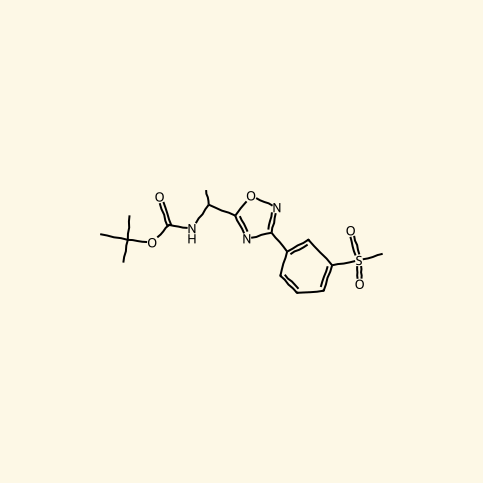 CC(NC(=O)OC(C)(C)C)c1nc(-c2cccc(S(C)(=O)=O)c2)no1